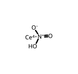 O=[N+]([O-])O.[Ce+4]